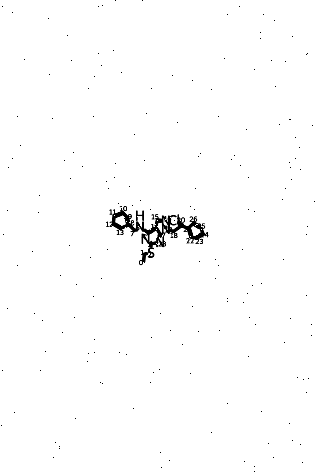 CCSc1nc(NCc2ccccc2)c2cnn(CC(Cl)c3ccccc3)c2n1